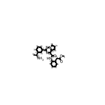 COC(=O)Cc1ccccc1NC(=O)c1nc(-c2cccc(C(C)N)c2)nn2cccc12